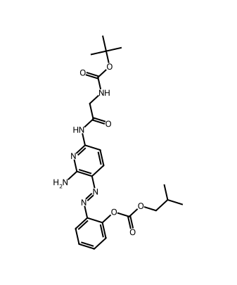 CC(C)COC(=O)Oc1ccccc1/N=N/c1ccc(NC(=O)CNC(=O)OC(C)(C)C)nc1N